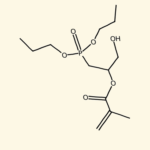 C=C(C)C(=O)OC(CO)CP(=O)(OCCC)OCCC